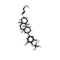 CCC=C[C@@H]1CC[C@H]2[C@H](CC[C@H]3C[C@H](c4cc(F)c(OC(F)(F)F)c(F)c4)CC[C@@H]32)C1